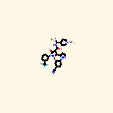 CC(NC(=O)c1c(-c2ccnn2-c2ccc(C#N)cc2)n(C)n(-c2cccc(C(F)(F)F)c2)c1=O)c1cc[n+](C)cc1